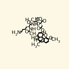 COc1ccc2c3c1O[C@H]1C(OC(=O)C[C@H](OC(=O)[C@H](C)NC(=O)[C@H](CCCCN)NC(C)=O)C(=O)O)=CC[C@@]4(O)[C@@H](C2)C(C)CC[C@]314